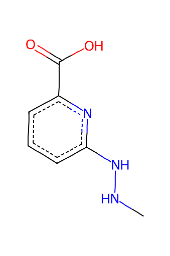 CNNc1cccc(C(=O)O)n1